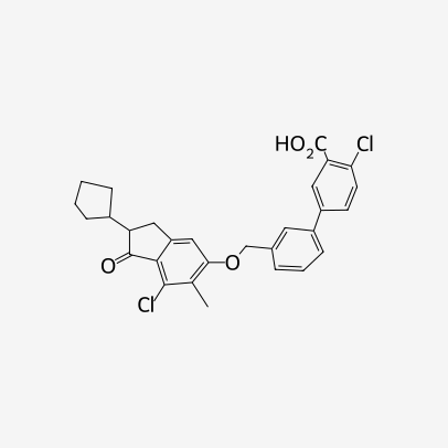 Cc1c(OCc2cccc(-c3ccc(Cl)c(C(=O)O)c3)c2)cc2c(c1Cl)C(=O)C(C1CCCC1)C2